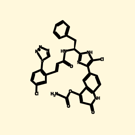 NC(=O)Oc1cc(=O)[nH]c2ccc(-c3nc([C@H](Cc4ccccc4)NC(=O)/C=C/c4cc(Cl)ccc4-n4cnnn4)[nH]c3Cl)cc12